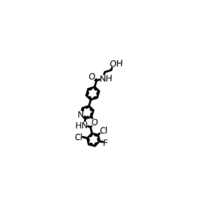 O=C(NCCO)c1ccc(-c2cnc3c(c2)OC(c2c(Cl)ccc(F)c2Cl)N3)cc1